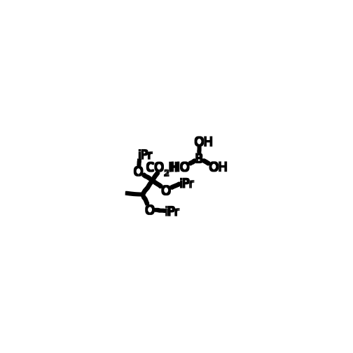 CC(C)OC(C)C(OC(C)C)(OC(C)C)C(=O)O.OB(O)O